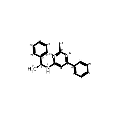 C[C@H](Nc1cc(-c2ccccc2)nc(I)n1)c1ccccc1